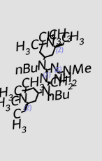 C=C(/N=C(\N=C(/N)NC)N(CCCC)C1C/C(=C/C)N(C)C(C)(C)C1)N(CCCC)C1C/C(=C/C)N(C)C(C)(C)C1